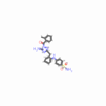 Cc1ccccc1C(=O)n1nc(Cc2ccccc2Nc2ccc(S(N)(=O)=O)cc2)nc1N